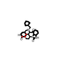 CCC(C1CN(C(=O)O)CCC1n1c(=O)[nH]c2ccccc21)N(Cc1ccccc1)Cc1ccccc1